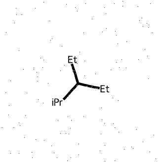 [CH2]CC(C[CH2])C(C)C